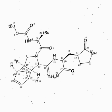 CC(C)(C)OC(=O)N[C@H](C(=O)N1C[C@@]2(F)[C@@H]([C@H]1C(=O)N[C@@H](C[C@@H]1CCNC1=O)C(N)=O)[C@H]1C=C[C@@H]2C1)C(C)(C)C